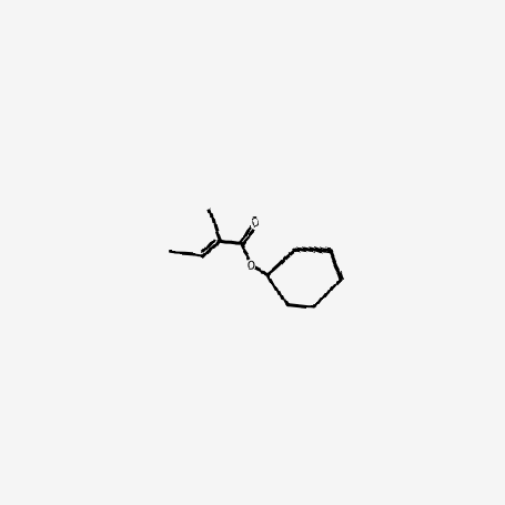 CC=C(C)C(=O)OC1CCCCC1